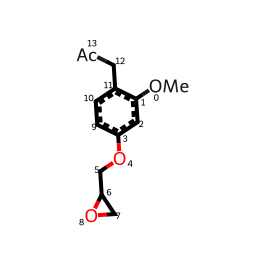 COc1cc(OCC2CO2)ccc1CC(C)=O